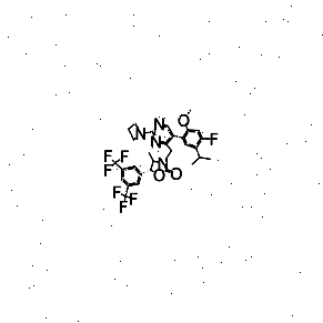 COc1cc(F)c(C(C)C)cc1-c1cnc(N2CCC2)nc1CN1C(=O)O[C@H](c2cc(C(F)(F)F)cc(C(F)(F)F)c2)C1C